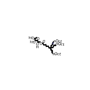 CCCCCCCCC=CCC(CC=CCCCCCCCC)(C/C=C/CCCCCCCC)CCCCCC(=O)OC[C@@H](O)C1OCC(O)C1O